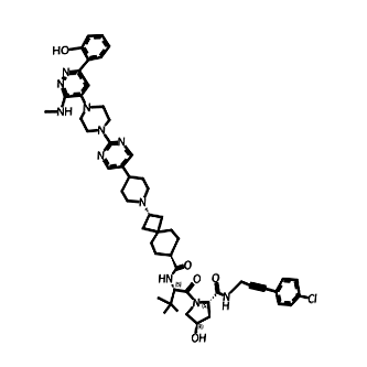 CNc1nnc(-c2ccccc2O)cc1N1CCN(c2ncc(C3CCN([C@H]4CC5(CC[C@H](C(=O)N[C@H](C(=O)N6C[C@H](O)C[C@H]6C(=O)NCC#Cc6ccc(Cl)cc6)C(C)(C)C)CC5)C4)CC3)cn2)CC1